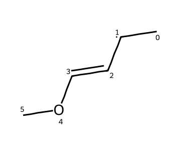 C[CH]/C=C/OC